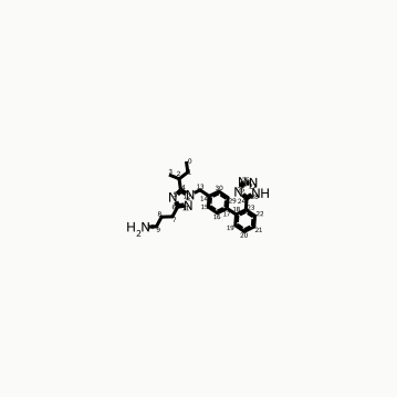 CCC(C)c1nc(CCCN)nn1Cc1ccc(-c2ccccc2-c2nnn[nH]2)cc1